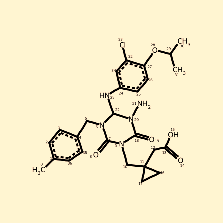 Cc1ccc(CN2C(=O)N(CC3(CC(=O)O)CC3)C(=O)N(N)C2Nc2ccc(OC(C)C)c(Cl)c2)cc1